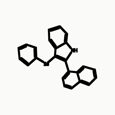 c1ccc([Se]c2c(-c3cccc4ccccc34)[nH]c3ccccc23)cc1